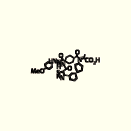 COc1ccc(NNC(=O)[C@]2(NC(=O)c3snnc3-c3ccccc3)CC[C@@H](C(=O)N(c3ccccc3)[C@@H](C)C(=O)O)CC2)cc1